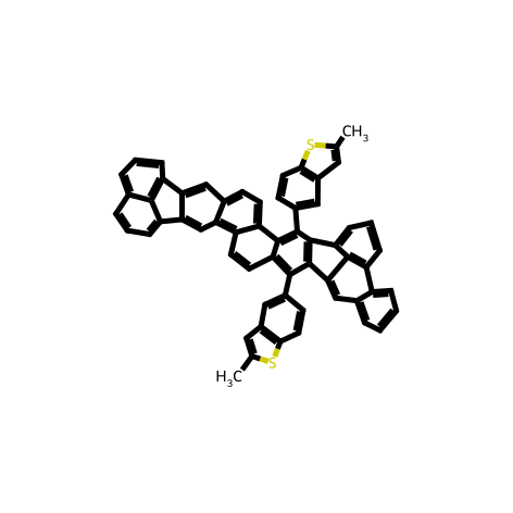 Cc1cc2cc(-c3c4c(c(-c5ccc6sc(C)cc6c5)c5c3ccc3c6cc7c(cc6ccc35)-c3cccc5cccc-7c35)-c3cccc5c3c-4cc3ccccc35)ccc2s1